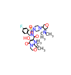 CN(C)[C@@H]1COC[C@H]1N1CCN(S(=O)(=O)c2cc(F)ccc2CNC(=O)c2nc3n(c(=O)c2O)CCOC3(C)C)CC1